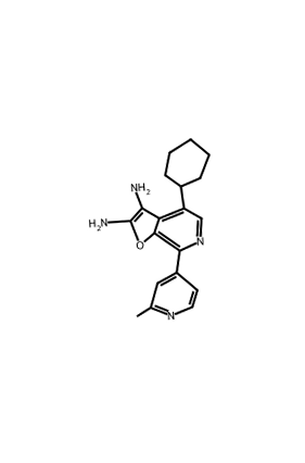 Cc1cc(-c2ncc(C3CCCCC3)c3c(N)c(N)oc23)ccn1